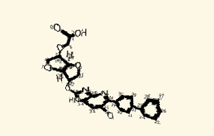 O=C(O)CO[C@@H]1CO[C@H]2[C@@H]1OC[C@H]2Oc1nc2nc(-c3ccc(-c4ccccc4)cc3)c(Cl)cc2[nH]1